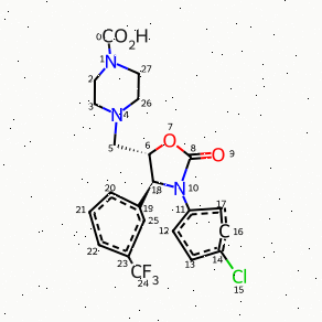 O=C(O)N1CCN(C[C@@H]2OC(=O)N(c3ccc(Cl)cc3)[C@H]2c2cccc(C(F)(F)F)c2)CC1